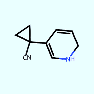 N#CC1(C2=[C]NCC=C2)CC1